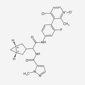 Cc1c(-c2ccc(NC(=O)C(NC(=O)c3ccnn3C)C3C[C@@H]4C[C@@H]4C3)cc2F)c(Cl)cc[n+]1[O-]